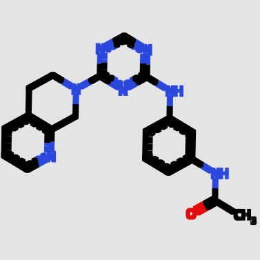 CC(=O)Nc1cccc(Nc2ncnc(N3CCc4cccnc4C3)n2)c1